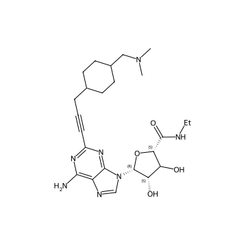 CCNC(=O)[C@H]1O[C@@H](n2cnc3c(N)nc(C#CCC4CCC(CN(C)C)CC4)nc32)[C@@H](O)C1O